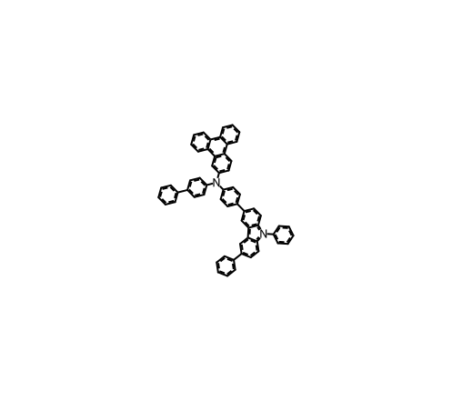 c1ccc(-c2ccc(N(c3ccc(-c4ccc5c(c4)c4cc(-c6ccccc6)ccc4n5-c4ccccc4)cc3)c3ccc4c5ccccc5c5ccccc5c4c3)cc2)cc1